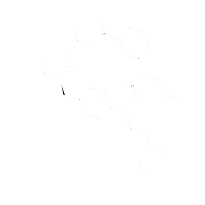 CCC(C)CC(=O)Oc1ccc(C[C@H](NCC(C)OC(=O)c2ccccc2)C(=O)O)cc1OC(=O)CC(C)CC